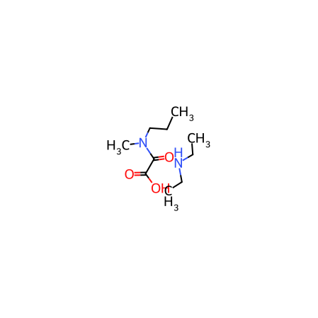 CCCN(C)C(=O)C(=O)O.CCNCC